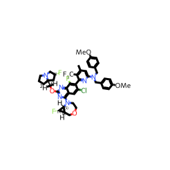 [2H]C([2H])(Oc1nc(N2CCOC[C@H]3[C@H](F)[C@H]32)c2cc(Cl)c(-c3nc(N(Cc4ccc(OC)cc4)Cc4ccc(OC)cc4)cc(C)c3C(F)(F)F)c(F)c2n1)[C@@]12CCCN1C[C@H](F)C2